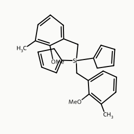 COc1c(C)cccc1C[Si](Cc1cccc(C)c1OC)(C1=CC=CC1)C1=CC=CC1